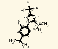 CC(C)c1ccc(-n2nc(C(F)(F)F)nc2N(C)C)c(F)c1